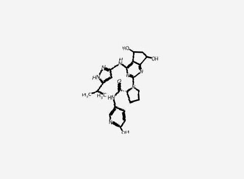 CC(C)c1cc(Nc2nc(N3CCC[C@@H]3C(=O)Nc3ccc(O)nc3)nc3c2C(O)CC3O)n[nH]1